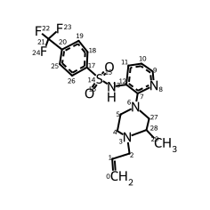 C=CCN1CCN(c2ncccc2NS(=O)(=O)c2ccc(C(F)(F)F)cc2)CC1C